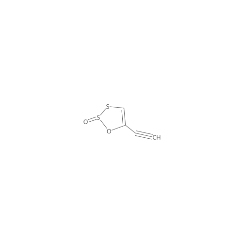 C#CC1=CSS(=O)O1